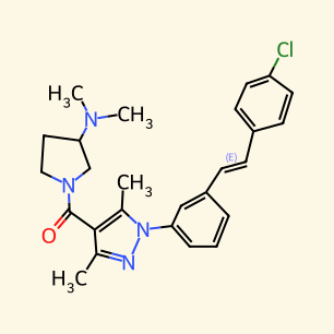 Cc1nn(-c2cccc(/C=C/c3ccc(Cl)cc3)c2)c(C)c1C(=O)N1CCC(N(C)C)C1